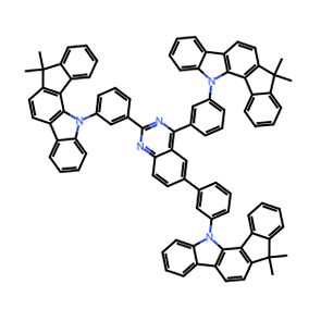 CC1(C)c2ccccc2-c2c1ccc1c3ccccc3n(-c3cccc(-c4ccc5nc(-c6cccc(-n7c8ccccc8c8ccc9c(c87)-c7ccccc7C9(C)C)c6)nc(-c6cccc(-n7c8ccccc8c8ccc9c(c87)-c7ccccc7C9(C)C)c6)c5c4)c3)c21